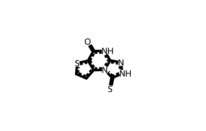 O=c1[nH]c2n[nH]c(=S)n2c2ccsc12